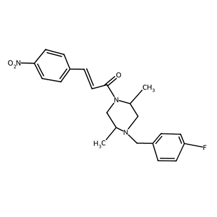 CC1CN(C(=O)/C=C/c2ccc([N+](=O)[O-])cc2)C(C)CN1Cc1ccc(F)cc1